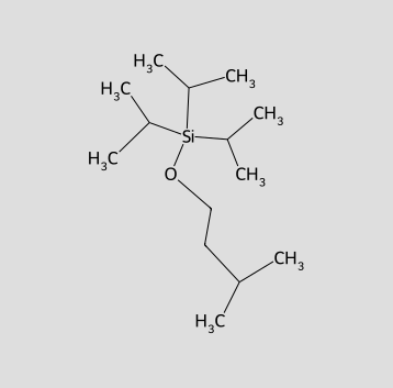 CC(C)CCO[Si](C(C)C)(C(C)C)C(C)C